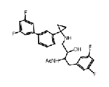 CC(=O)NC(Cc1cc(F)cc(F)c1)C(O)CNC1(c2cccc(-c3cc(F)cc(F)c3)c2)CC1